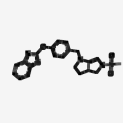 CS(=O)(=O)N1C=C2C(CCN2Cc2ccc(Oc3nc4ccccc4s3)cc2)C1